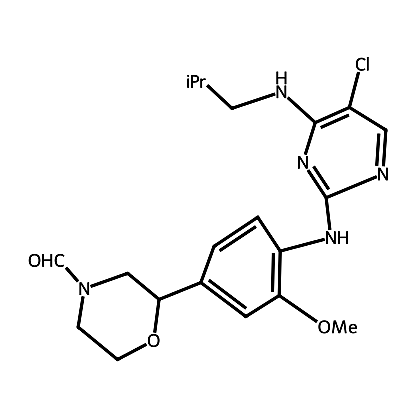 COc1cc(C2CN(C=O)CCO2)ccc1Nc1ncc(Cl)c(NCC(C)C)n1